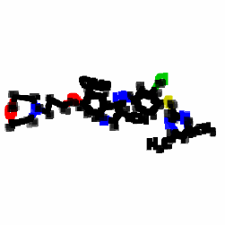 COc1cc2c(Nc3ccc(Sc4nc(C)cc(C)n4)c(Cl)c3)c(C#N)cnc2cc1OCCCN1CCOCC1